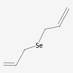 C=CC[Se]CC=C